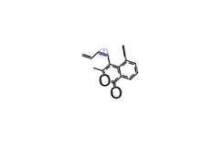 C=C/C=C\c1c(C)oc(=O)c2cccc(I)c12